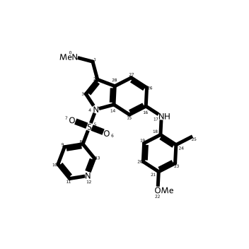 CNCc1cn(S(=O)(=O)c2cccnc2)c2cc(Nc3ccc(OC)cc3C)ccc12